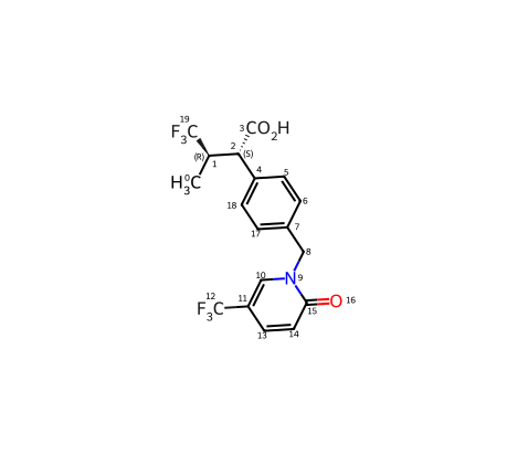 C[C@H]([C@H](C(=O)O)c1ccc(Cn2cc(C(F)(F)F)ccc2=O)cc1)C(F)(F)F